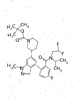 CC(C)N(CC(F)F)C(=O)c1cc(F)ccc1-c1cc(C2CCCN(C(=O)OC(C)(C)C)C2)cc2c1cnn2C